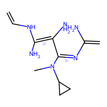 C=CN/C(N)=C(N)/C(=N\C(=C)N)N(C)C1CC1